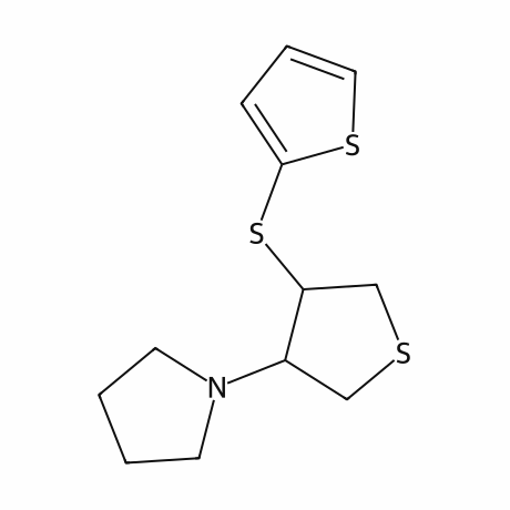 c1csc(SC2CSCC2N2CCCC2)c1